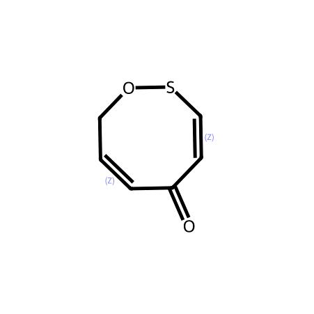 O=C1/C=C\COS/C=C\1